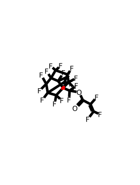 O=C(OC(F)(F)C12C(F)(F)C3(F)C(F)(F)C(F)(C(F)(F)C(F)(C3(F)F)C1(F)F)C2(F)F)C(F)=C(F)F